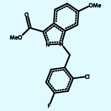 COC(=O)c1nn(Cc2ccc(F)cc2Cl)c2cc(OC)ccc12